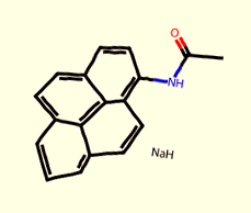 CC(=O)Nc1ccc2ccc3cccc4ccc1c2c34.[NaH]